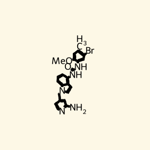 COc1cc(C)c(Br)cc1NC(=O)Nc1cccc2c1ccn2Cc1ccnc(N)c1